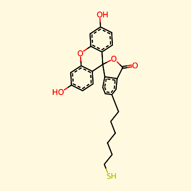 O=C1OC2(c3ccc(O)cc3Oc3cc(O)ccc32)c2ccc(CCCCCCS)cc21